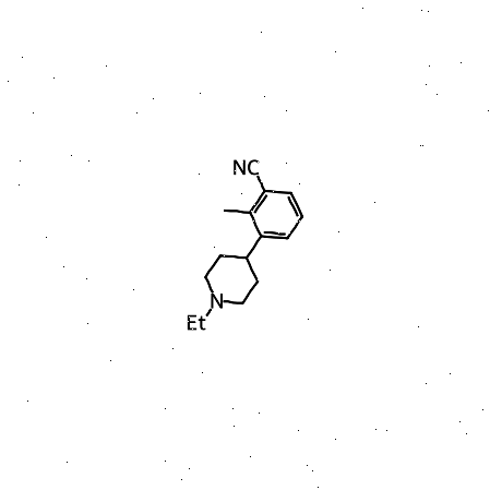 CCN1CCC(c2cccc(C#N)c2C)CC1